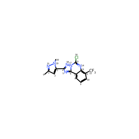 Cc1cc(-c2nc3c4cccc(C(F)(F)F)c4nc(Cl)n3n2)n(C)n1